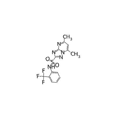 Cc1cc(C)n2nc(S(=O)(=O)Nc3ccccc3C(F)(F)F)nc2n1